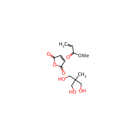 C=CC(=O)OC.CC(CO)(CO)CO.O=C1C=CC(=O)O1